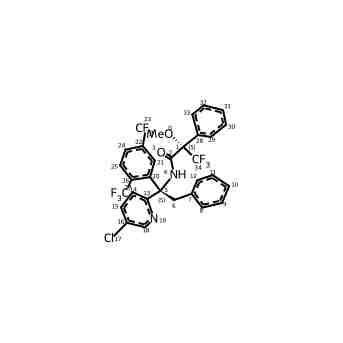 CO[C@](C(=O)N[C@](Cc1ccccc1)(c1ccc(Cl)cn1)c1cc(C(F)(F)F)ccc1C(F)(F)F)(c1ccccc1)C(F)(F)F